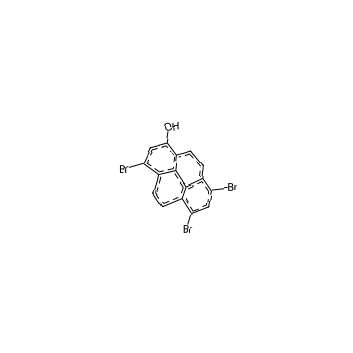 Oc1cc(Br)c2ccc3c(Br)cc(Br)c4ccc1c2c43